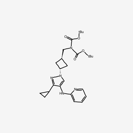 CC(C)(C)OC(=O)N(C[C@H]1C[C@H](n2cc(Nc3ccccn3)c(C3CC3)n2)C1)C(=O)OC(C)(C)C